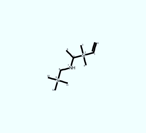 C=C[Si](C)(C)C(C)NC[Si](C)(C)C